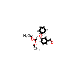 CCOC(C)OCC.O=Cc1cccc(Oc2ccccc2)c1